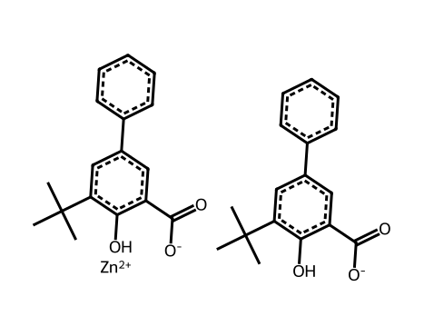 CC(C)(C)c1cc(-c2ccccc2)cc(C(=O)[O-])c1O.CC(C)(C)c1cc(-c2ccccc2)cc(C(=O)[O-])c1O.[Zn+2]